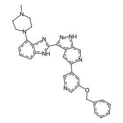 CN1CCN(c2cccc3[nH]c(-c4n[nH]c5cnc(-c6cncc(OCc7ccccc7)c6)cc45)nc23)CC1